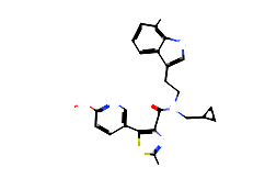 COc1ccc(-c2sc(C)nc2C(=O)N(CCc2c[nH]c3c(C)cccc23)CC2CC2)cn1